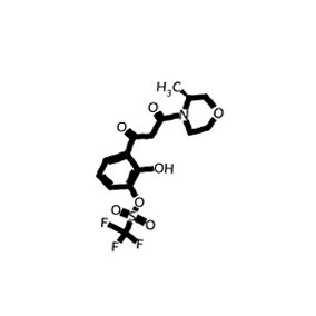 C[C@H]1COCCN1C(=O)CC(=O)c1cccc(OS(=O)(=O)C(F)(F)F)c1O